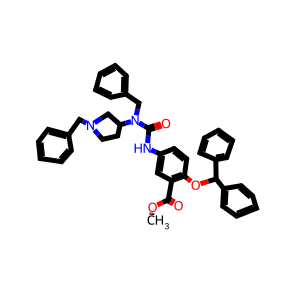 COC(=O)c1cc(NC(=O)N(Cc2ccccc2)C2CCN(Cc3ccccc3)C2)ccc1OC(c1ccccc1)c1ccccc1